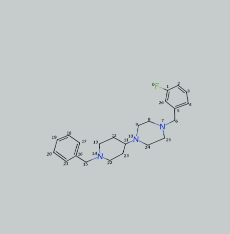 Fc1cccc(CN2CCN(C3CCN(Cc4ccccc4)CC3)CC2)c1